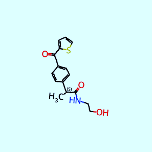 C[C@H](C(=O)NCCO)c1ccc(C(=O)c2cccs2)cc1